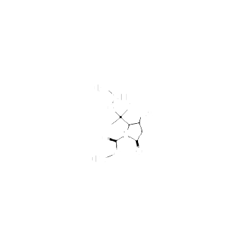 CC(C)(C)OC(=O)N1C(=O)CC(C(C)(C)C)C1C(C)(C)O[SiH2]C(C)(C)C